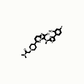 CCc1nc2ccc(C3CCN(CC(=O)N(C)C)CC3)nn2c1N(C)c1nc(-c2ccc(F)cc2C#N)cs1